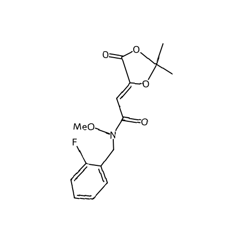 CON(Cc1ccccc1F)C(=O)/C=C1\OC(C)(C)OC1=O